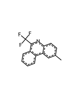 Cc1ccc2nc(C(F)(F)F)c3ccccc3c2c1